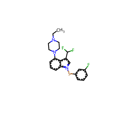 CCN1CCN(c2cccc3c2c(C(F)F)cn3Sc2cccc(F)c2)CC1